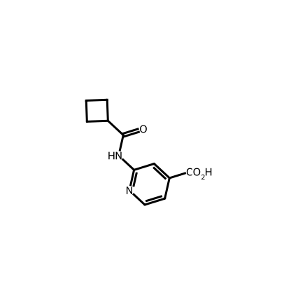 O=C(O)c1ccnc(NC(=O)C2CCC2)c1